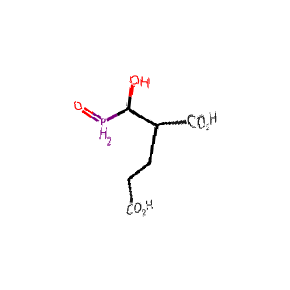 O=[PH2]C(O)C(CCC(=O)O)C(=O)O